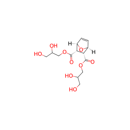 O=C(OCC(O)CO)[C@@H]1[C@H](C(=O)OCC(O)CO)[C@H]2C=C[C@@H]1O2